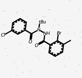 Cc1cccc(C(=O)NN(C(=O)c2cccc(Cl)c2)C(C)(C)C)c1Br